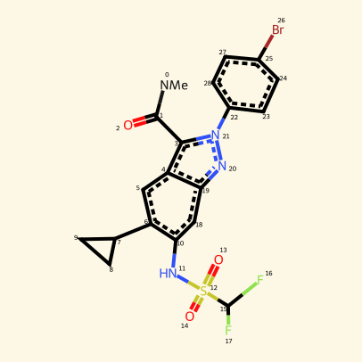 CNC(=O)c1c2cc(C3CC3)c(NS(=O)(=O)C(F)F)cc2nn1-c1ccc(Br)cc1